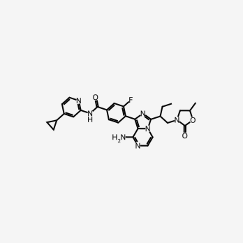 CCC(CN1CC(C)OC1=O)c1nc(-c2ccc(C(=O)Nc3cc(C4CC4)ccn3)cc2F)c2c(N)nccn12